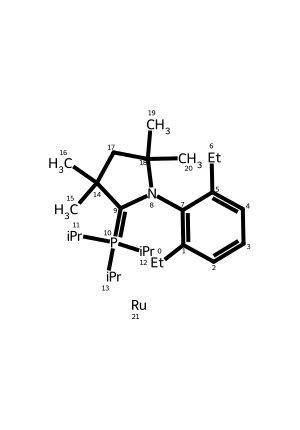 CCc1cccc(CC)c1N1C(=P(C(C)C)(C(C)C)C(C)C)C(C)(C)CC1(C)C.[Ru]